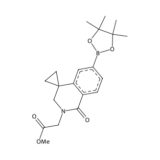 COC(=O)CN1CC2(CC2)c2cc(B3OC(C)(C)C(C)(C)O3)ccc2C1=O